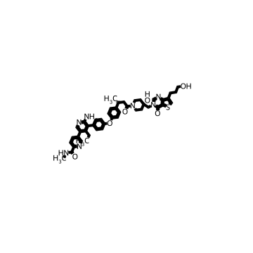 CCc1c(-c2ccc(C(=O)NC)nc2)cnc(N)c1-c1ccc(Oc2ccc([C@H](C)CC(=O)N3CCC(O)(Cn4cnc5c(CCCO)csc5c4=O)CC3)cc2)cc1